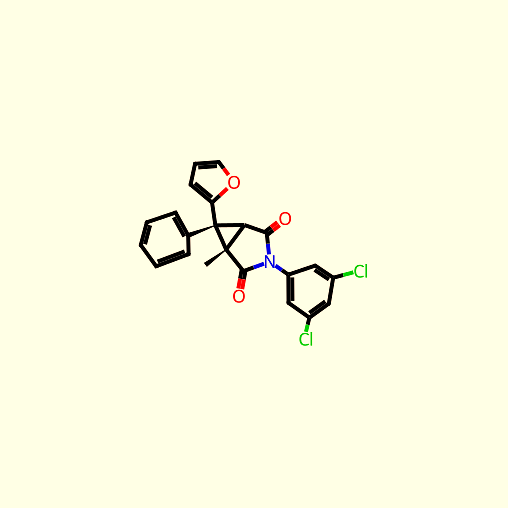 C[C@]12C(=O)N(c3cc(Cl)cc(Cl)c3)C(=O)C1[C@@]2(c1ccccc1)c1ccco1